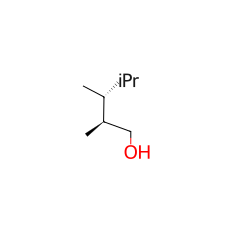 CC(C)[C@@H](C)[C@H](C)CO